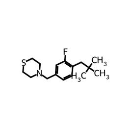 CC(C)(C)Cc1ccc(CN2CCSCC2)cc1F